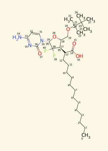 CCCCCCCCCCCCCC(C(=O)O)[C@@H]1C(CO[Si](C)(C)C(C)(C)C)O[C@@H](n2ccc(N)nc2=O)C1(F)F